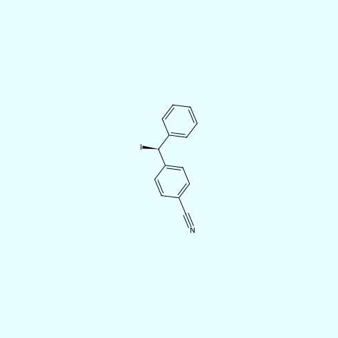 N#Cc1ccc([C@@H](I)c2ccccc2)cc1